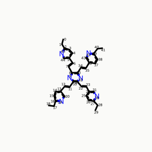 CCc1ccc(C=Cc2nc(C=Cc3ccc(CC)nc3)c(C=Cc3ccc(CC)nc3)nc2C=Cc2ccc(CC)nc2)cn1